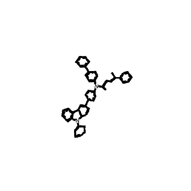 C/C(=C\C=C(/C)N(c1ccc(C2=CC3c4ccccc4N(C4=CC=CCC4)C3C=C2)cc1)c1ccc(-c2ccccc2)cc1)c1ccccc1